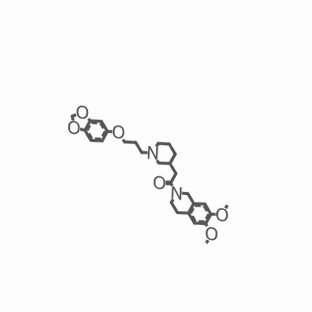 COc1cc2c(cc1OC)CN(C(=O)CC1CCCN(CCCOc3ccc4c(c3)OCO4)C1)CC2